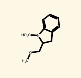 NOCC1Cc2ccccc2N1C(=O)O